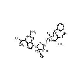 C#C[C@@]1(F)[C@H](O)[C@@H](COP(=O)(N[C@@H](C)C(=O)OC(C)C)SOc2ccccc2)O[C@H]1n1cnc2c(N(C)C)nc(N)nc21